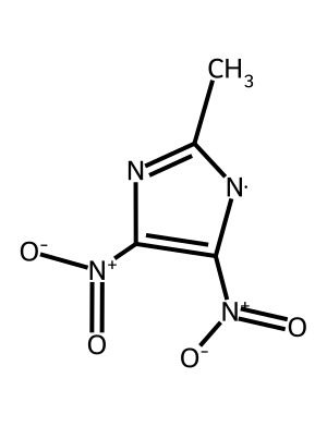 CC1=NC([N+](=O)[O-])=C([N+](=O)[O-])[N]1